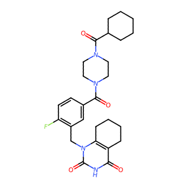 O=C(c1ccc(F)c(Cn2c3c(c(=O)[nH]c2=O)CCCC3)c1)N1CCN(C(=O)C2CCCCC2)CC1